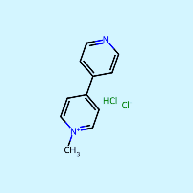 C[n+]1ccc(-c2ccncc2)cc1.Cl.[Cl-]